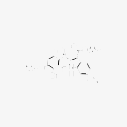 CCCN(c1ccc(OC)c(Br)c1F)c1[nH]c2cc(C#N)ccc2c1C(=O)OC